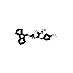 CC(C)(C)OC(=O)[C@H](Cc1ccc(N)cc1)NC(=O)OCC1c2ccccc2-c2ccccc21